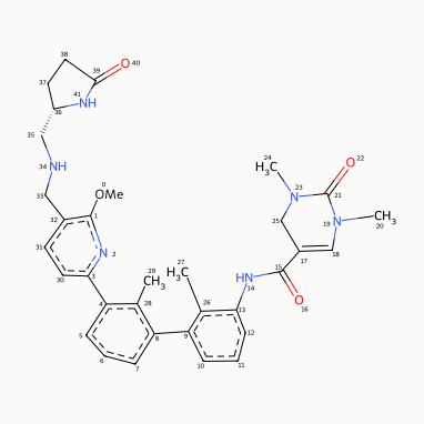 COc1nc(-c2cccc(-c3cccc(NC(=O)C4=CN(C)C(=O)N(C)C4)c3C)c2C)ccc1CNC[C@@H]1CCC(=O)N1